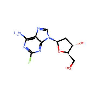 Nc1nc(F)nc2c1ncn2[C@H]1C[C@H](O)[C@@H](CO)O1